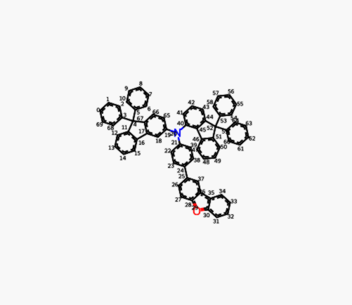 c1ccc(C2(c3ccccc3)c3ccccc3-c3cc(N(c4ccc(-c5ccc6oc7ccccc7c6c5)cc4)c4cccc5c4-c4ccccc4C5(c4ccccc4)c4ccccc4)ccc32)cc1